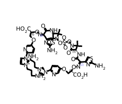 CC1(C)[C@H](NC(=O)/C(=N\O[C@@H](COc2ccc(-n3cc[n+](CCCN)c3)nc2)C(=O)O)c2csc(N)n2)C(=O)N1OS(=O)(=O)ON1C(=O)[C@@H](NC(=O)/C(=N\O[C@@H](COc2ccc(-n3cc[n+](CCCN)c3)nc2)C(=O)O)c2csc(N)n2)C1(C)C